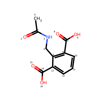 CC(=O)NCc1c(C(=O)O)cccc1C(=O)O